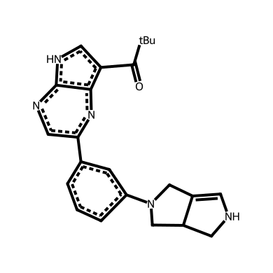 CC(C)(C)C(=O)c1c[nH]c2ncc(-c3cccc(N4CC5=CNCC5C4)c3)nc12